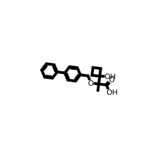 CC(OCc1ccc(-c2ccccc2)cc1)(C(=O)O)C1(O)CCC1